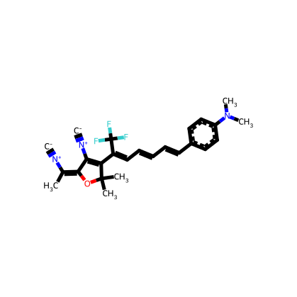 [C-]#[N+]C1=C(C(=C/C=C/C=C/c2ccc(N(C)C)cc2)/C(F)(F)F)C(C)(C)O/C1=C(\C)[N+]#[C-]